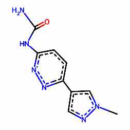 Cn1cc(-c2ccc(NC(N)=O)nn2)cn1